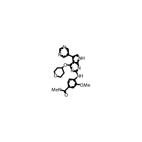 CNC(=O)c1ccc(Nc2nc(OC3CCOCC3)c3c(-c4cncnc4)c[nH]c3n2)c(OC)c1